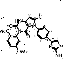 COc1ccc(OC)c(-n2c(=O)[nH]c3cc(Cl)n(-c4ccc(-c5csc(N)n5)cc4)c3c2=O)c1